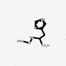 O=CONC(Cc1c[nH]cn1)C(=O)O